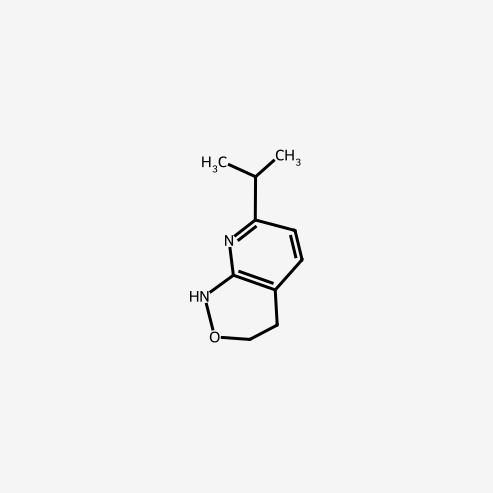 CC(C)c1ccc2c(n1)NOCC2